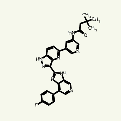 CC(C)(C)CC(=O)Nc1cncc(-c2ccc3[nH]nc(-c4nc5c(-c6ccc(F)cc6)cncc5[nH]4)c3n2)c1